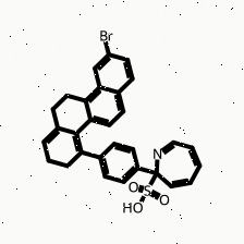 O=S(=O)(O)C1(c2ccc(C3=C4C(=CCC3)CCc3c4ccc4ccc(Br)cc34)cc2)C=CC=CC=N1